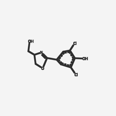 OCC1COC(c2cc(Cl)c(O)c(Cl)c2)=N1